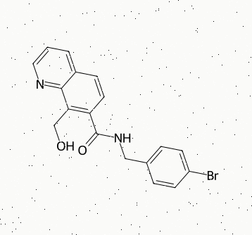 O=C(NCc1ccc(Br)cc1)c1ccc2cccnc2c1CO